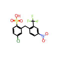 O=[N+]([O-])c1ccc(Cc2cc(Cl)ccc2S(=O)(=O)O)c(C(F)(F)F)c1